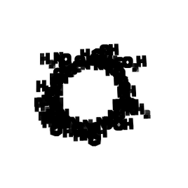 CCCC[C@H]1C(=O)N(C)[C@@H](CCCC)C(=O)N[C@@H](C)C(=O)N[C@H](C(=O)NCC(N)=O)CSCC(=O)N[C@@H](Cc2ccc(O)cc2)C(=O)N(C)[C@@H](C)C(=O)N[C@@H](CCC(=O)O)C(=O)N2CCC[C@H]2C(=O)N[C@@H](Cc2cnc[nH]2)C(=O)N[C@@H](CCN)C(=O)N2C[C@H](O)C[C@H]2C(=O)N[C@@H](Cc2c[nH]c3ccccc23)C(=O)N[C@@H](CO)C(=O)N[C@@H](Cc2c[nH]c3ccccc23)C(=O)N1C